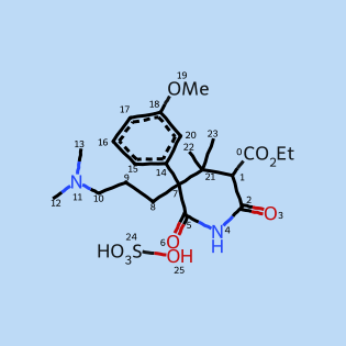 CCOC(=O)C1C(=O)NC(=O)C(CCCN(C)C)(c2cccc(OC)c2)C1(C)C.O=S(=O)(O)O